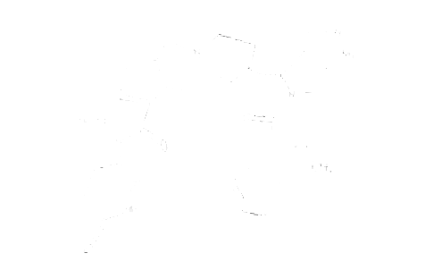 CO[C@@H](C(=O)N1Cc2[nH]n[c]c2C1N1CCN(Cc2ccc3c(c2F)C(=O)N(C2CCC(=O)NC2=O)C3=O)CC1)c1ccccc1